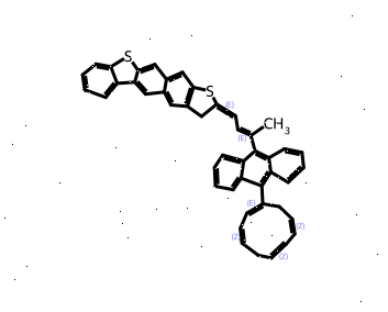 C/C(=C\C=C1/Cc2cc3cc4c(cc3cc2S1)sc1ccccc14)c1c2ccccc2c(/C2=C/C=C\C/C=C\C=C/C2)c2ccccc12